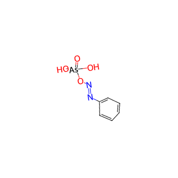 O=[As](O)(O)ON=Nc1ccccc1